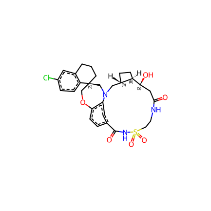 O=C1C[C@H](O)[C@@H]2CC[C@H]2CN2C[C@@]3(CCCc4cc(Cl)ccc43)COc3ccc(cc32)C(=O)NS(=O)(=O)CCN1